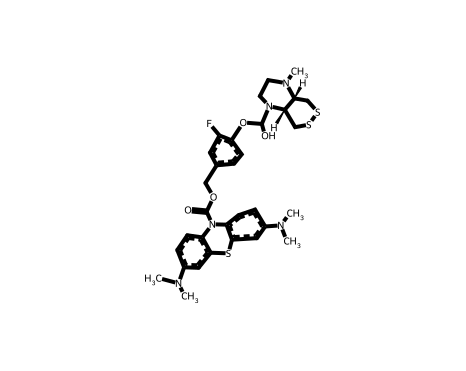 CN(C)c1ccc2c(c1)Sc1cc(N(C)C)ccc1N2C(=O)OCc1ccc(OC(O)N2CCN(C)[C@@H]3CSSC[C@@H]32)c(F)c1